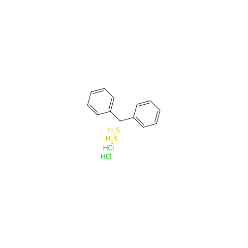 Cl.Cl.S.S.c1ccc(Cc2ccccc2)cc1